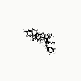 C[C@H]1CC2C3CCC4=CC(=O)C=C[C@]4(C)C3(F)[C@@H](O)C[C@]2(C)[C@]1(OC(=O)Nc1ccccc1)C(=O)CO